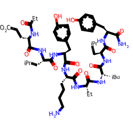 CCC(=O)N[C@@H](CCC(=O)O)C(=O)N[C@@H](CC(C)C)C(=O)N[C@@H](Cc1ccc(O)cc1)C(=O)N[C@@H](CCCCN)C(=O)N[C@@H](CC)C(=O)N[C@H](C(=O)N[C@@H](CC(C)C)C(=O)N[C@@H](Cc1ccc(O)cc1)C(N)=O)[C@@H](C)CC